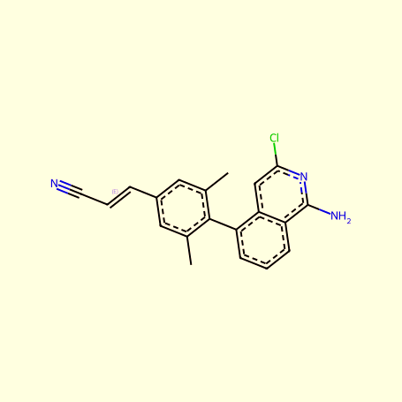 Cc1cc(/C=C/C#N)cc(C)c1-c1cccc2c(N)nc(Cl)cc12